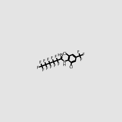 N=C(Nc1c(Cl)cc(C(F)(F)F)cc1Cl)C(F)(F)C(F)(F)C(F)(F)C(F)(F)C(F)(F)F